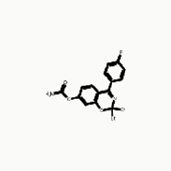 CCC1(CC)N=C(c2ccc(F)cc2)c2ccc(OC(N)=O)cc2O1